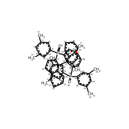 Cc1cc(C)cc(P(=O)(c2cc(C)cc(C)c2)c2ccc3ccccc3c2-c2c(P(=O)(c3cc(C)cc(C)c3)c3cc(C)cc(C)c3)ccc3ccccc23)c1